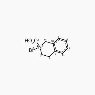 O=C(O)[N+]1(Br)CCc2ccccc2C1